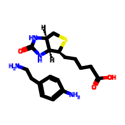 NCCc1ccc(N)cc1.O=C(O)CCCC[C@@H]1SC[C@@H]2NC(=O)N[C@@H]21